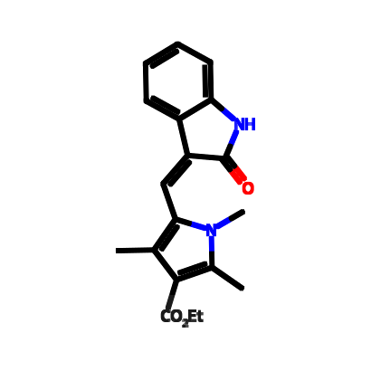 CCOC(=O)c1c(C)c(/C=C2\C(=O)Nc3ccccc32)n(C)c1C